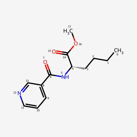 CCCC[C@H](NC(=O)c1cccnc1)C(=O)OC